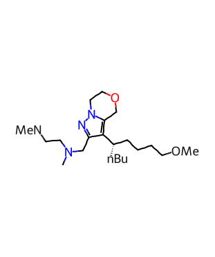 CCCC[C@@H](CCCCOC)c1c(CN(C)CCNC)nn2c1COCC2